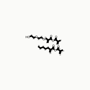 C=C(C)C(=O)OC(=O)C(=C)C.C=C(C)C(=O)OC(=O)C(=C)CCCCC.OCCOCCO